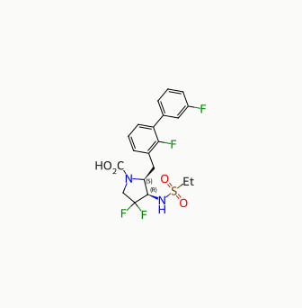 CCS(=O)(=O)N[C@@H]1[C@H](Cc2cccc(-c3cccc(F)c3)c2F)N(C(=O)O)CC1(F)F